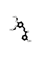 O=C(/C=C/c1ccc(OCO)c(OCO)c1)c1cccc(O)c1